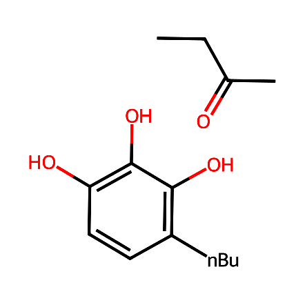 CCC(C)=O.CCCCc1ccc(O)c(O)c1O